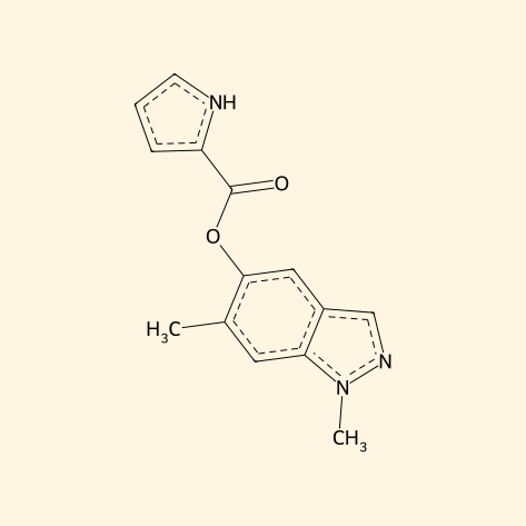 Cc1cc2c(cnn2C)cc1OC(=O)c1ccc[nH]1